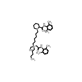 C=C(Nc1c(C)cccc1C)C1CCCCN1CCCCCC[N+](CO)(CCCCC)CC(=O)Nc1c(C)cccc1C